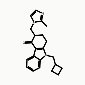 Cc1nccn1CC1CCc2c(c3ccccc3n2CC2CCC2)C1=O